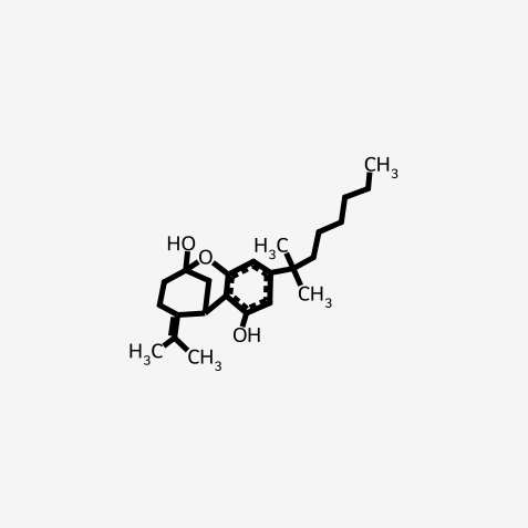 CCCCCCC(C)(C)c1cc(O)c2c(c1)OC1(O)CCC(=C(C)C)C2C1